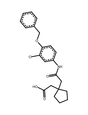 O=C(O)CC1(CC(=O)Nc2ccc(OCc3ccccc3)c(Cl)c2)CCCC1